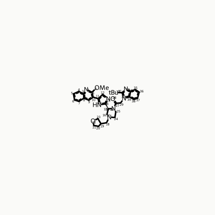 COc1nc2ccccc2cc1-c1cnc([C@@H]2CN(CC3CCOC3)CCN2C(=O)Cn2c(C(C)(C)C)nc3ccccc32)[nH]1